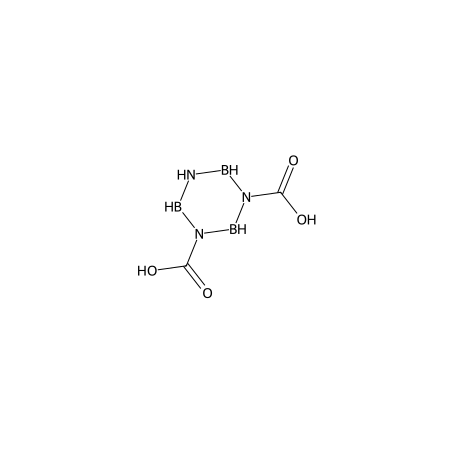 O=C(O)N1BNBN(C(=O)O)B1